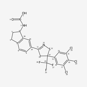 O=C(O)NC1CCc2ccc(C3=NSC(c4cc(Cl)c(Cl)c(Cl)c4)(C(F)(F)F)C3)cc21